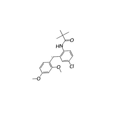 COc1ccc([CH]c2cc(Cl)ccc2NC(=O)C(C)(C)C)c(OC)c1